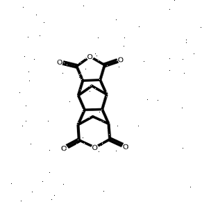 O=C1OC(=O)C2CC1C1C3CC(C4C(=O)OC(=O)C34)C21